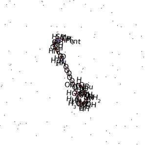 CCCCCC(C)(C)SC/C(CSC)=N/OCC(=O)N[C@@H](CC(C)C)C(=O)NCC(=O)Nc1ccc(COC(=O)NC/C(N)=C/NCCOCCOCCOCCOCCOCCOCCOCCSCc2c(O)ccc3c4c([nH]c23)[S+]([O-])C[C@@H](NC(=O)CNC(=O)[C@@H](NC(=O)CNC=O)[C@@H](C)CC)C(=O)NC(CC(N)=O)C(=O)N2C[C@H](O)C[C@H]2C(=O)NC([C@@H](C)[C@@H](O)CO)C(=O)N[C@H](C)C4)cc1